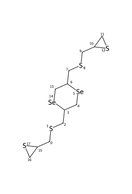 C(SCC1C[Se]C(CSCC2CS2)C[Se]1)C1CS1